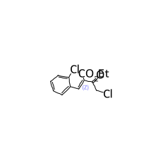 CCOC(=O)/C(=C\c1ccccc1Cl)C(=O)CCl